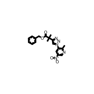 Cc1ncc([N+](=O)[O-])cc1-n1cc(C(C)(C)C(=O)OCc2ccccc2)nn1